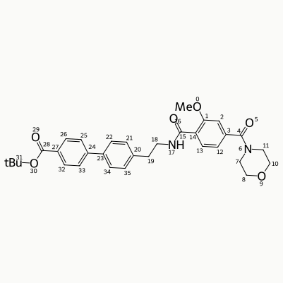 COc1cc(C(=O)N2CCOCC2)ccc1C(=O)NCCc1ccc(-c2ccc(C(=O)OC(C)(C)C)cc2)cc1